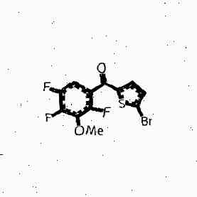 COc1c(F)c(F)cc(C(=O)c2ccc(Br)s2)c1F